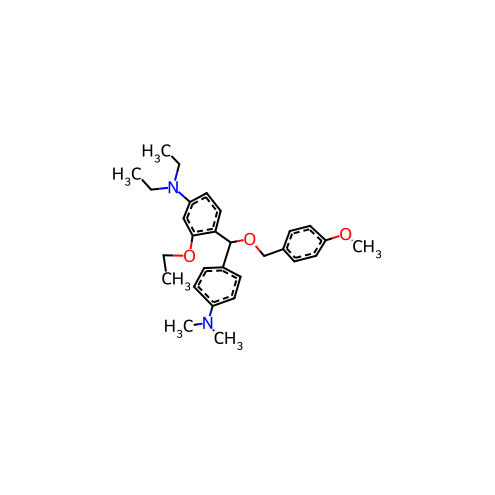 CCOc1cc(N(CC)CC)ccc1C(OCc1ccc(OC)cc1)c1ccc(N(C)C)cc1